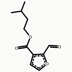 CC(C)CCOC(=O)c1ccoc1C=O